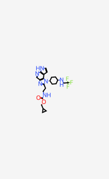 O=C(NCCc1nc2cnc3[nH]ccc3c2n1[C@H]1CC[C@H](NCC(F)(F)F)CC1)OCC1CC1